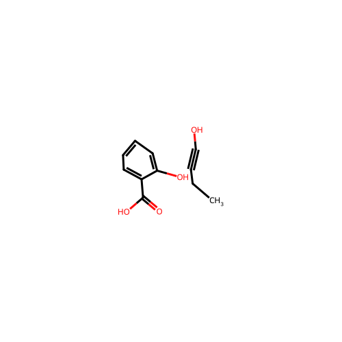 CCC#CO.O=C(O)c1ccccc1O